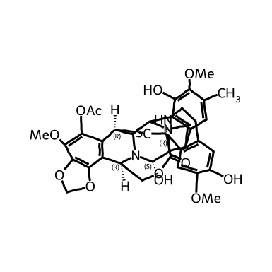 COc1cc2c(cc1O)CCN[C@]21CS[C@@H]2c3c(OC(C)=O)c(OC)c4c(c3[C@H](COC1=O)N1C2C2c3c(cc(C)c(OC)c3O)C3CN2C3[C@@H]1O)OCO4